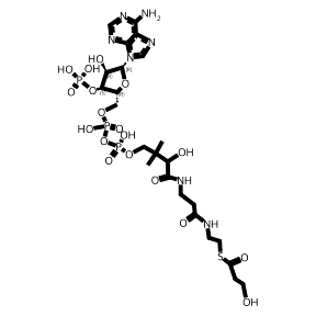 CC(C)(COP(=O)(O)OP(=O)(O)OC[C@H]1O[C@@H](n2cnc3c(N)ncnc32)[C@H](O)[C@@H]1OP(=O)(O)O)C(O)C(=O)NCCC(=O)NCCSC(=O)CCO